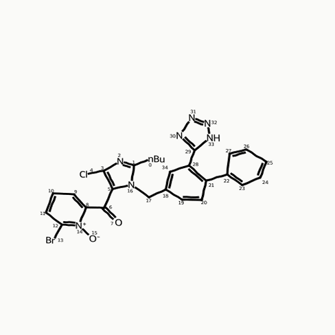 CCCCc1nc(Cl)c(C(=O)c2cccc(Br)[n+]2[O-])n1Cc1ccc(-c2ccccc2)c(-c2nnn[nH]2)c1